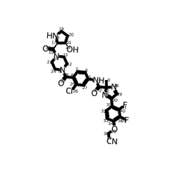 CC1(C(=O)Nc2ccc(C(=O)N3CCN(C(=O)[C@H]4NCC[C@@H]4O)CC3)c(Cl)c2)N=CC(c2ccc(OCC#N)c(F)c2F)=N1